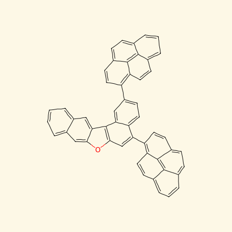 c1ccc2cc3c(cc2c1)oc1cc(-c2ccc4ccc5cccc6ccc2c4c56)c2ccc(-c4ccc5ccc6cccc7ccc4c5c67)cc2c13